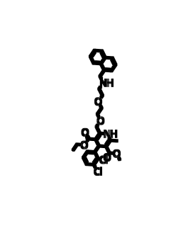 CCOC(=O)C1=C(COCCOCCNCc2cccc3ccccc23)NC(C)=C(C(=O)OC)C1c1cccc(Cl)c1Cl